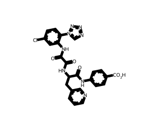 O=C(Nc1cc(Cl)ccc1-n1cnnn1)C(=O)NC(Cc1cccnc1)C(=O)Nc1ccc(C(=O)O)cc1